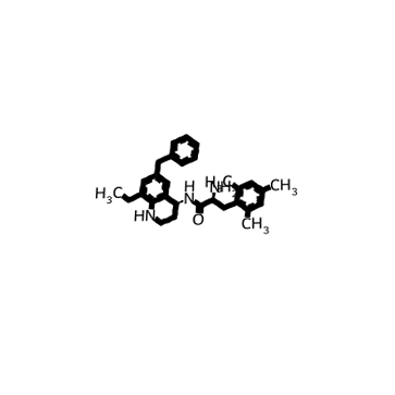 CCc1cc(Cc2ccccc2)cc2c1NCC[C@H]2NC(=O)[C@@H](N)Cc1c(C)cc(C)cc1C